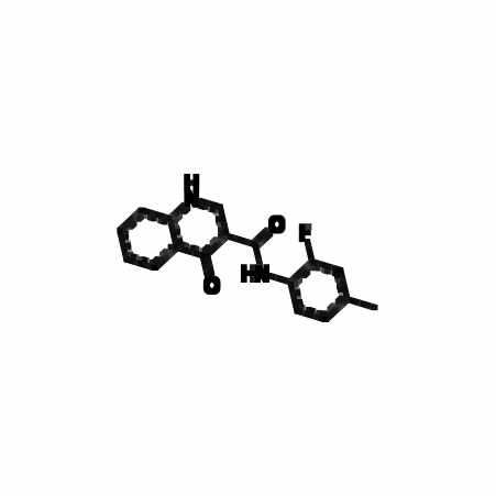 Cc1ccc(NC(=O)c2c[nH]c3ccccc3c2=O)c(F)c1